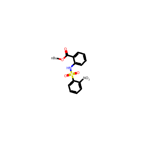 CCCCOC(=O)c1ccccc1NS(=O)(=O)c1ccccc1[N+](=O)[O-]